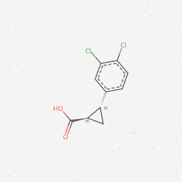 O=C(O)[C@@H]1C[C@H]1c1ccc(Cl)c(Cl)c1